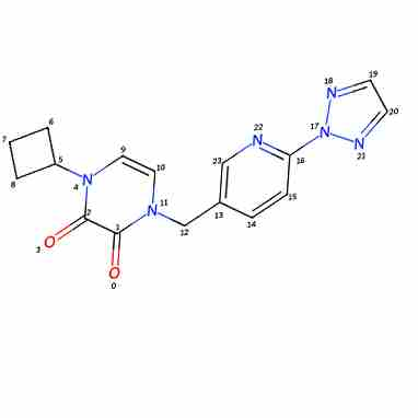 O=c1c(=O)n(C2CCC2)ccn1Cc1ccc(-n2nccn2)nc1